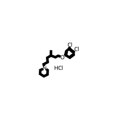 CC(CCCN1CCCCC1)CCOc1ccc(Cl)c(Cl)c1.Cl